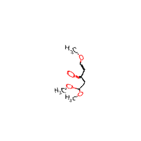 COC=CC(=O)CC(OC)OC